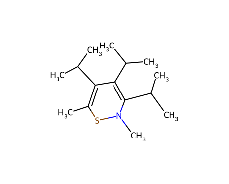 CC1=C(C(C)C)C(C(C)C)=C(C(C)C)N(C)S1